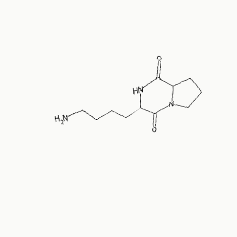 NCCCCC1NC(=O)C2CCCN2C1=O